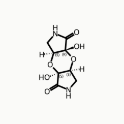 O=C1NC[C@@H]2O[C@]3(O)C(=O)NC[C@@H]3O[C@@]12O